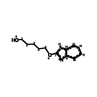 OCCCCCOc1nc2ccccc2s1